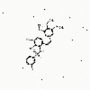 COc1cc(/C=C\c2ccc(O)c(O)c2NS(=O)(=O)c2cccc(F)c2)cc(OC)c1OC